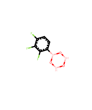 Fc1ccc(B2OBOBO2)c(F)c1F